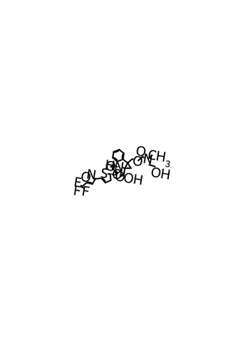 CN(CCO)C(=O)OCC1(c2ccccc2)CC1(NS(=O)(=O)C1CC=C(c2cc(C(F)(F)F)on2)S1)C(=O)O